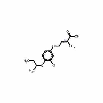 CCC(C)Oc1ccc(OC/C=C(\C)C(=O)O)cc1Cl